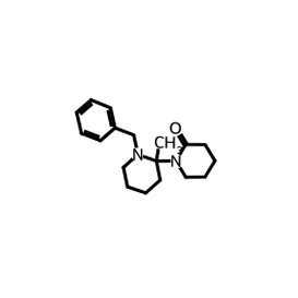 CC1(N2CCCCC2=O)CCCCN1Cc1ccccc1